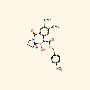 COc1cc2c(cc1OC)N(C(=O)OCc1ccc([N+](=O)[O-])cc1)[C@@H](O)[C@@H]1CCCN1C2=O